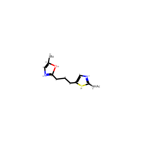 CC(=O)Nc1ncc(CCCc2ncc(C(C)(C)C)o2)s1